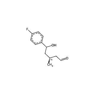 C[C@H](CC=O)CC(O)c1ccc(F)cc1